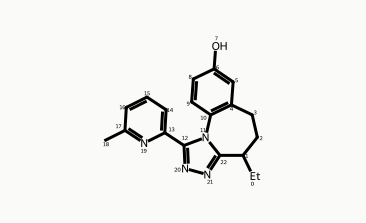 CCC1CCc2cc(O)ccc2-n2c(-c3cccc(C)n3)nnc21